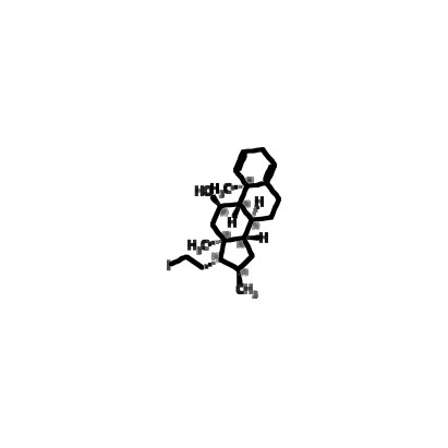 C[C@@H]1C[C@H]2[C@@H]3CCC4=CCC=C[C@]4(C)[C@H]3[C@H](O)C[C@]2(C)[C@H]1CCI